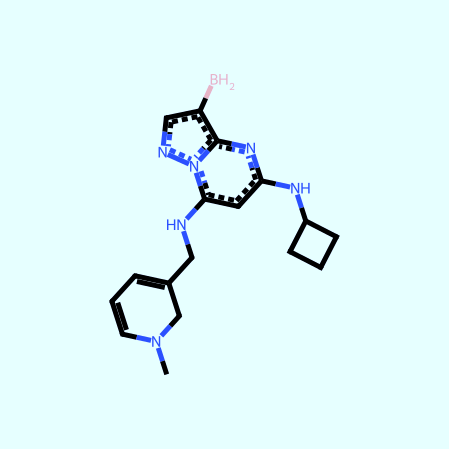 Bc1cnn2c(NCC3=CC=CN(C)C3)cc(NC3CCC3)nc12